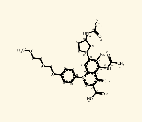 COCCOCOc1ccc(-n2cc(C(=O)O)c(=O)c3c(NC(C)=O)c(F)c(N4CCC(NC(C)=O)C4)cc32)cc1